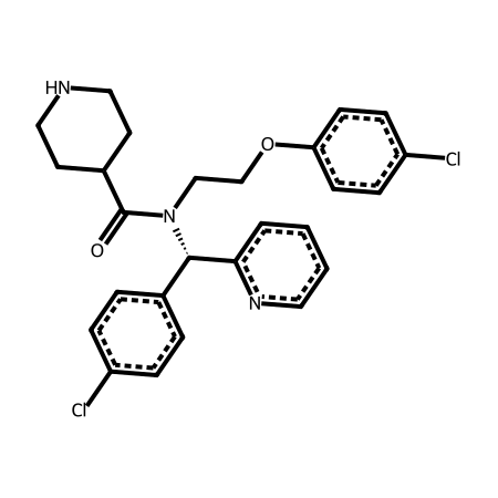 O=C(C1CCNCC1)N(CCOc1ccc(Cl)cc1)[C@@H](c1ccc(Cl)cc1)c1ccccn1